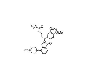 CCN1CCN(c2cccc3c2CN([C@H](CCCC(N)=O)c2ccc(OC)c(OC)c2)C3=O)CC1